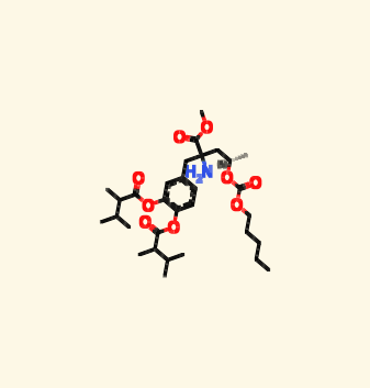 CCCCCOC(=O)O[C@@H](C)CC(N)(Cc1ccc(OC(=O)C(C)C(C)C)c(OC(=O)C(C)C(C)C)c1)C(=O)OC